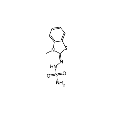 Cn1c(=NNS(N)(=O)=O)sc2ccccc21